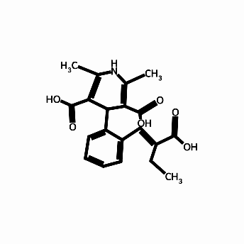 CC/C(=C\c1ccccc1C1C(C(=O)O)=C(C)NC(C)=C1C(=O)O)C(=O)O